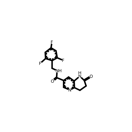 O=C1CCc2ncc(C(=O)NCc3c(F)cc(F)cc3F)cc2N1